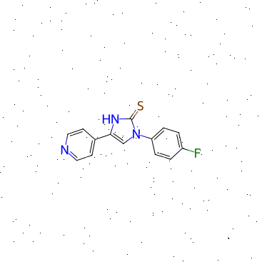 Fc1ccc(-n2cc(-c3ccncc3)[nH]c2=S)cc1